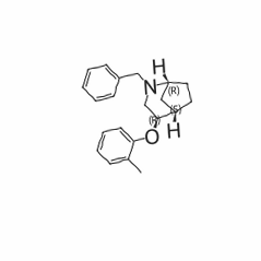 Cc1ccccc1O[C@H]1CN(Cc2ccccc2)[C@@H]2CC[C@H]1C2